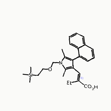 CC/C(=C\c1c(-c2cccc3ccccc23)c(C)n(COCC[Si](C)(C)C)c1C)C(=O)O